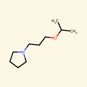 CC(C)OCCCN1CCCC1